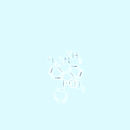 CN(C)c1ccccc1-c1ccccc1P(C)C1CCCCC1